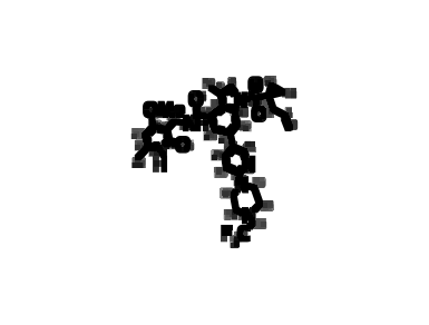 C=CCC1(S(=O)(=O)n2cc(C)c3c(C(=O)NCc4c(OC)cc(C)[nH]c4=O)cc(-c4ccc(N5CCN(CC(F)(F)F)CC5)nc4)cc32)CC1